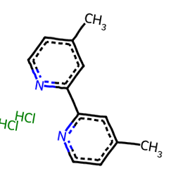 Cc1ccnc(-c2cc(C)ccn2)c1.Cl.Cl